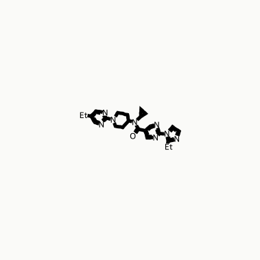 CCc1cnc(N2CCC(N(C(=O)c3cnc(-n4ccnc4CC)nc3)C3CC3)CC2)nc1